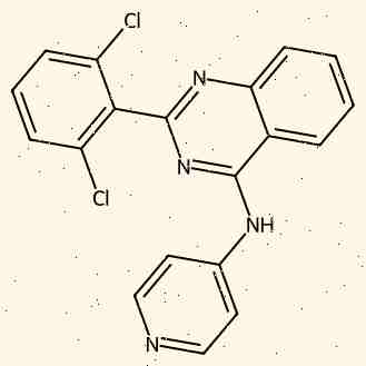 Clc1cccc(Cl)c1-c1nc(Nc2ccncc2)c2ccccc2n1